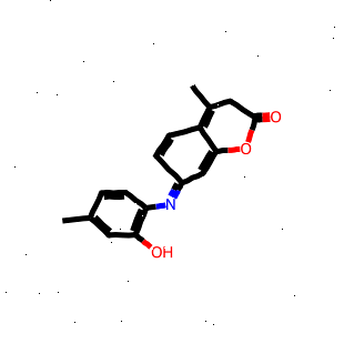 CC1=C2C=CC(=Nc3ccc(C)cc3O)C=C2OC(=O)C1